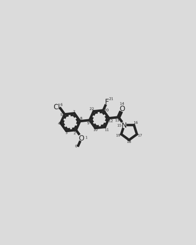 COc1ccc(Cl)cc1-c1ccc(C(=O)N2CCCC2)c(F)c1